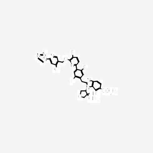 CC1(C)COCC1n1c(Cc2cc(F)c(-c3ccc(F)c(OCc4cnc(-n5ccnn5)cc4Cl)n3)cc2F)nc2ccc(C(=O)O)cc21